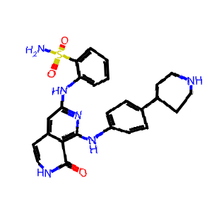 NS(=O)(=O)c1ccccc1Nc1cc2cc[nH]c(=O)c2c(Nc2ccc(C3CCNCC3)cc2)n1